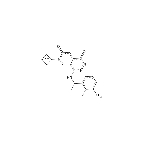 Cc1c(C(C)Nc2nn(C)c(=O)c3cc(=O)n(C45CC(C4)C5)cc23)cccc1C(F)(F)F